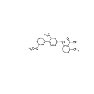 COc1cccc(-c2ncc(Nc3cccc(C)c3C(=O)O)cc2C)c1